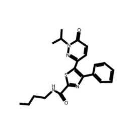 CCCCNC(=O)c1nc(-c2ccccc2)c(-c2ccc(=O)n(C(C)C)n2)s1